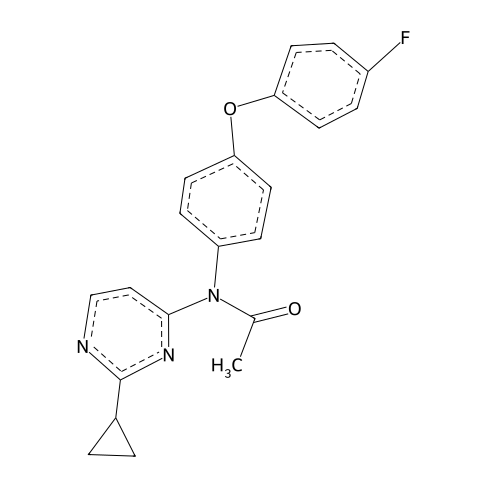 CC(=O)N(c1ccc(Oc2ccc(F)cc2)cc1)c1ccnc(C2CC2)n1